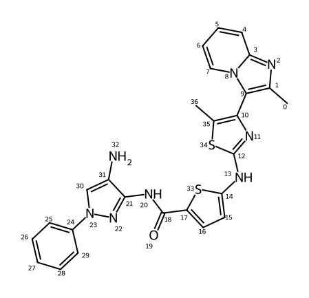 Cc1nc2ccccn2c1-c1nc(Nc2ccc(C(=O)Nc3nn(-c4ccccc4)cc3N)s2)sc1C